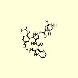 CC(F)Oc1ccc(Cl)cc1-c1nn(CC(=O)N2C[C@H]3C[C@@H]2CN3)cc1NC(=O)c1c(N)nn2cccnc12